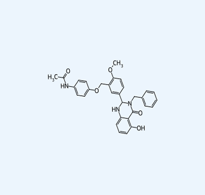 COc1ccc(C2Nc3cccc(O)c3C(=O)N2Cc2ccccc2)cc1COc1ccc(NC(C)=O)cc1